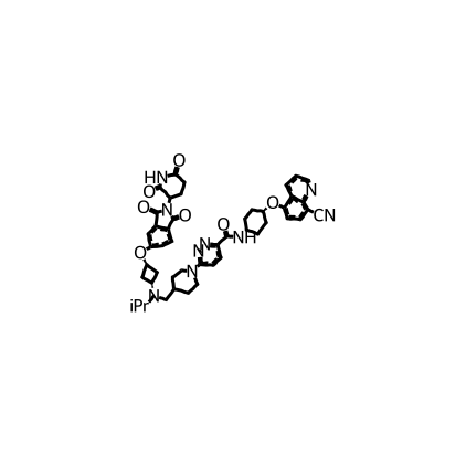 CC(C)N(CC1CCN(c2ccc(C(=O)N[C@H]3CC[C@H](Oc4ccc(C#N)c5ncccc45)CC3)nn2)CC1)[C@H]1C[C@H](Oc2ccc3c(c2)C(=O)N(C2CCC(=O)NC2=O)C3=O)C1